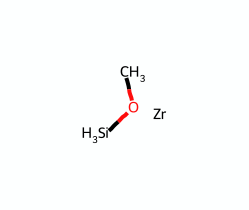 CO[SiH3].[Zr]